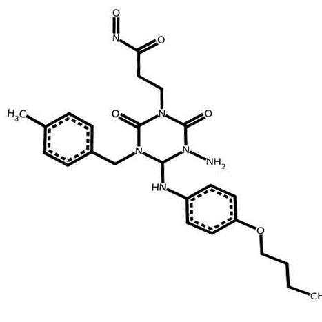 CCCCOc1ccc(NC2N(N)C(=O)N(CCC(=O)N=O)C(=O)N2Cc2ccc(C)cc2)cc1